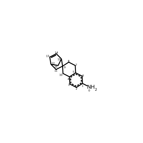 Nc1ccc2c(c1)CCC1(C2)CC2C=CC1C2